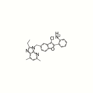 CCc1nc2c(C)cc(C)nc2n1Cc1ccc2oc(-c3ccccc3N)c(Cl)c2c1